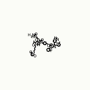 Cc1cccc(-c2nc(CN(C(=O)OCc3ccc(NC(=O)[C@H](CCCNC(N)=O)NC(=O)C(NC(=O)CCCCCN4C(=O)C=CC4=O)C(C)C)cc3)[C@H]3CCCC[C@@H]3F)[nH]c2-c2ccn3ncnc3c2)n1